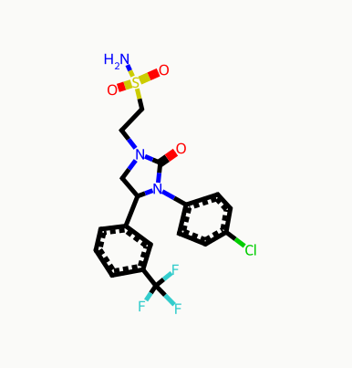 NS(=O)(=O)CCN1CC(c2cccc(C(F)(F)F)c2)N(c2ccc(Cl)cc2)C1=O